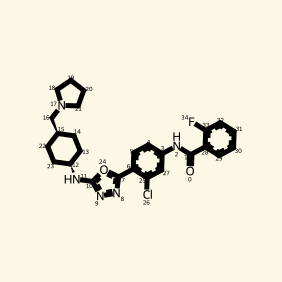 O=C(Nc1ccc(-c2nnc(N[C@H]3CC[C@H](CN4CCCC4)CC3)o2)c(Cl)c1)c1ccccc1F